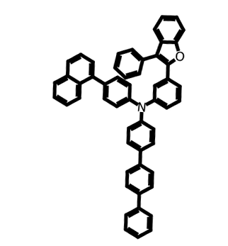 c1ccc(-c2ccc(-c3ccc(N(c4ccc(-c5cccc6ccccc56)cc4)c4cccc(-c5oc6ccccc6c5-c5ccccc5)c4)cc3)cc2)cc1